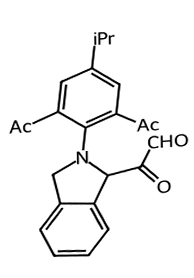 CC(=O)c1cc(C(C)C)cc(C(C)=O)c1N1Cc2ccccc2C1C(=O)C=O